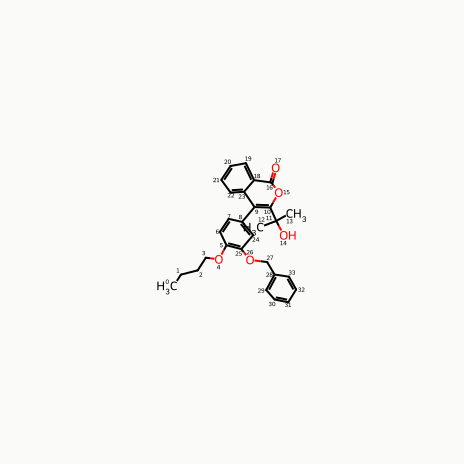 CCCCOc1ccc(-c2c(C(C)(C)O)oc(=O)c3ccccc23)cc1OCc1ccccc1